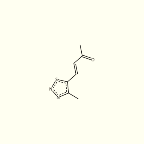 CC(=O)C=Cc1snnc1C